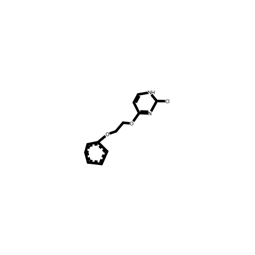 ClC1N=C(OCCOc2ccccc2)C=CN1